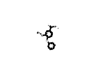 CC(C)Oc1cc(C(N)=O)ccc1Oc1ccccc1